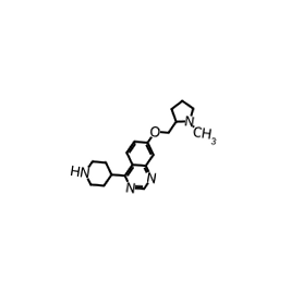 CN1CCCC1COc1ccc2c(C3CCNCC3)ncnc2c1